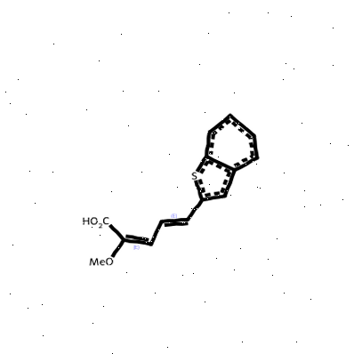 CO/C(=C/C=C/c1cc2ccccc2s1)C(=O)O